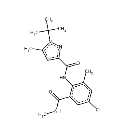 CNC(=O)c1cc(Cl)cc(C)c1NC(=O)c1cc(C)n(C(C)(C)C)n1